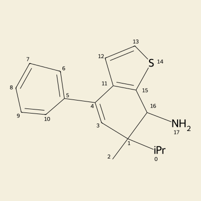 CC(C)C1(C)C=C(c2ccccc2)c2ccsc2C1N